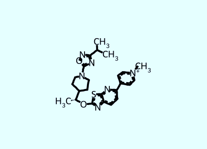 CC(C)c1noc(N2CCC([C@@H](C)Oc3nc4ccc(-c5cc[n+](C)cc5)nc4s3)CC2)n1